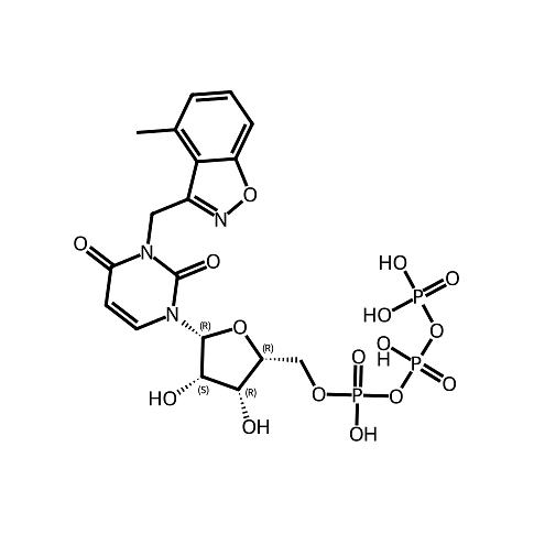 Cc1cccc2onc(Cn3c(=O)ccn([C@@H]4O[C@H](COP(=O)(O)OP(=O)(O)OP(=O)(O)O)[C@H](O)[C@@H]4O)c3=O)c12